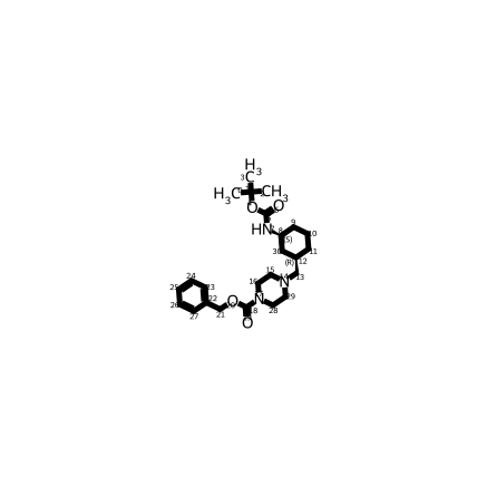 CC(C)(C)OC(=O)N[C@H]1CCC[C@@H](CN2CCN(C(=O)OCc3ccccc3)CC2)C1